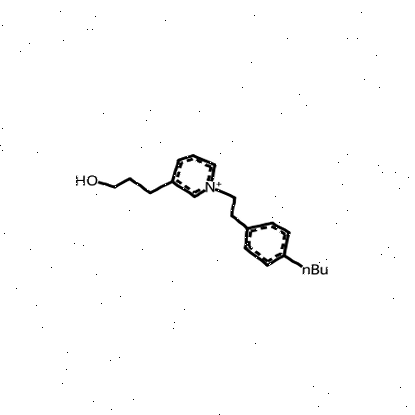 CCCCc1ccc(CC[n+]2cccc(CCCO)c2)cc1